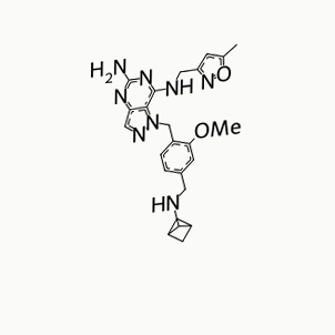 COc1cc(CNC2C3CC2C3)ccc1Cn1ncc2nc(N)nc(NCc3cc(C)on3)c21